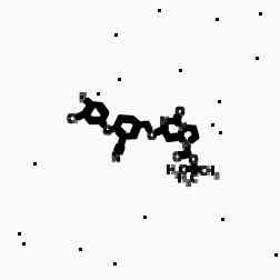 CC(C)(C)OC(=O)N1CCn2c1cc(OCc1ccc(Oc3ccc(F)c(Cl)c3)c(C#N)c1)nc2=O